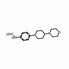 O=CNc1ccc(N2CCC(N3CCOCC3)CC2)cc1